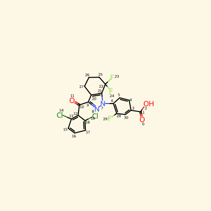 O=C(O)c1ccc(-n2nc(C(=O)c3c(Cl)cccc3Cl)c3c2C(F)(F)CCC3)c(F)c1